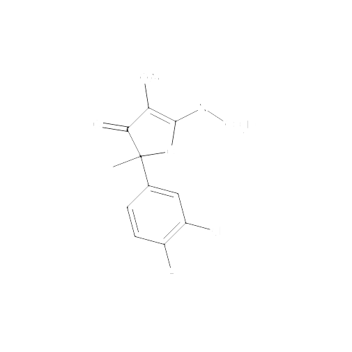 CCOC(=O)NC1=C(OC(C)=O)C(=O)C(C)(c2ccc(F)c(Cl)c2)O1